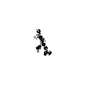 Cc1ccsc1C1=C(CN2CCN(c3ccc(C(=O)NS(=O)(=O)c4ccc(NCC5CCOCC5)c([N+](=O)[O-])c4)c(Oc4cnc5[nH]ccc5c4)c3)CC2)CCC(C)(C)C1